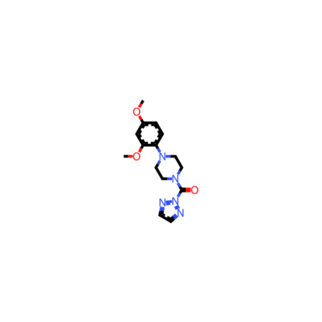 COc1ccc(N2CCN(C(=O)n3nccn3)CC2)c(OC)c1